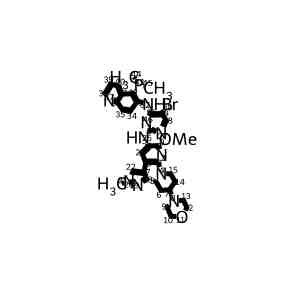 COc1nc(N2CCC(N3CCOCC3)CC2)c(-c2cnn(C)c2)cc1Nc1ncc(Br)c(Nc2ccc3ncccc3c2P(C)C)n1